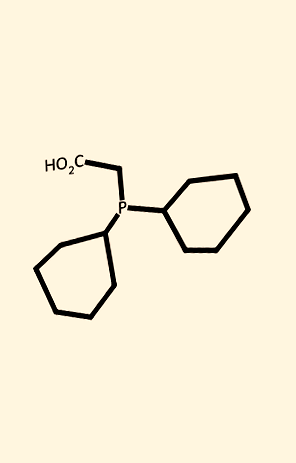 O=C(O)CP(C1CCCCC1)C1CCCCC1